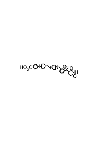 O=C1CCC(c2noc3c(CN4CCN(CCC5CCN(c6ccc(C(=O)O)cc6)CC5)CC4)cccc23)C(=O)N1